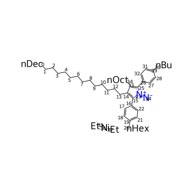 CCCCCCCCCCCCCCCCCCCCCCCC1=C(c2ccc(CCCCCC)cc2)[N+](=[N-])C(c2ccc(CCCC)cc2)=C1CCCCCCCC.C[CH2][Ni][CH2]C